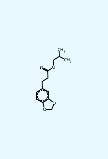 CC(C)COC(=O)CCc1ccc2c(c1)OCO2